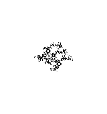 CCN(CC)CCOC(=O)CCc1c[nH]c2cc(OC(=O)N(C)CC)ccc12.CCN(CC)CCOC(=O)CCc1c[nH]c2cc(OC(=O)N(C)CC)ccc12.CCN(CC)CCOC(=O)CCc1c[nH]c2cc(OC(=O)N(C)CC)ccc12.O=C(O)CC(O)(CC(=O)O)C(=O)O